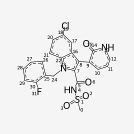 CS(=O)(=O)NC(=O)c1c(-c2ccc[nH]c2=O)c2cc(Cl)ccc2n1Cc1ccccc1F